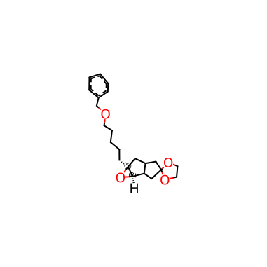 c1ccc(COCCCCC[C@]23CC4CC5(CC4[C@H]2O3)OCCO5)cc1